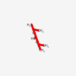 CCCCCCCCOC(CCCCC(=O)OCCCCCCN(CCO)CCCCCCOC(=O)CCCCC(OCCCCCCCC)OCCCCCCCC)OCCCCCCCC